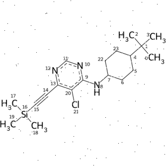 CC(C)(C)C1CCC(Nc2ncnc(C#C[Si](C)(C)C)c2Cl)CC1